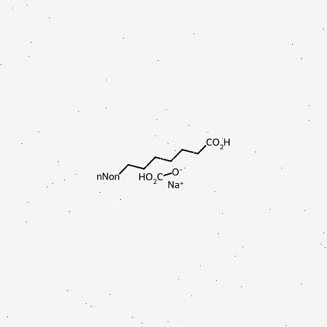 CCCCCCCCCCCCCCCC(=O)O.O=C([O-])O.[Na+]